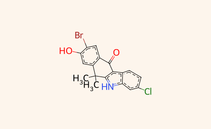 CC1(C)c2cc(O)c(Br)cc2C(=O)c2c1[nH]c1cc(Cl)ccc21